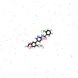 Cc1cc2oc(F)cc2cc1-c1ccc(NC(=O)c2ccccc2Cl)nc1